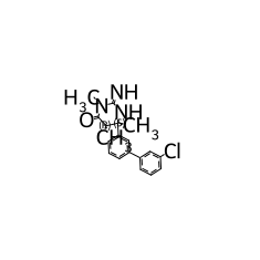 C[C@H]1C(=O)N(C)C(=N)N[C@]1(C)c1cccc(-c2cccc(Cl)c2)c1